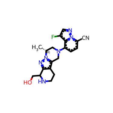 C[C@@H]1CN(c2ccc(C#N)n3ncc(F)c23)Cc2c3c(nn21)C(CO)NCC3